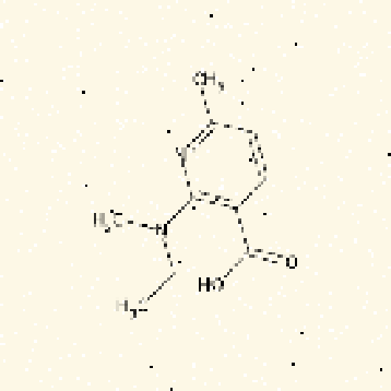 CCN(C)c1nc(C)ccc1C(=O)O